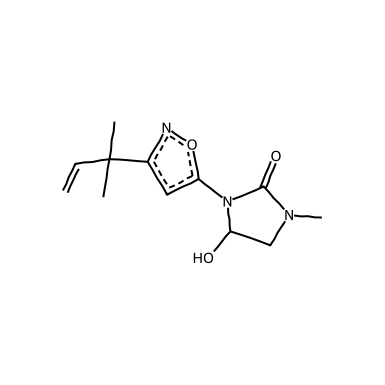 C=CC(C)(C)c1cc(N2C(=O)N(C)CC2O)on1